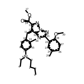 CCCCN(CC)c1ccc(/C=c2/c(C(=O)OC)nn3nc(-c4cc(C)ccc4OC)nc23)c(C)c1